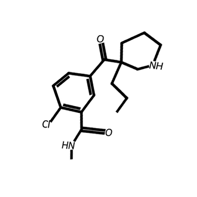 CCCC1(C(=O)c2ccc(Cl)c(C(=O)NC)c2)CCCNC1